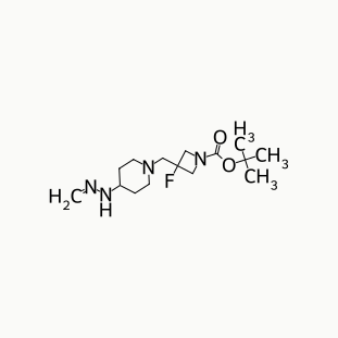 C=NNC1CCN(CC2(F)CN(C(=O)OC(C)(C)C)C2)CC1